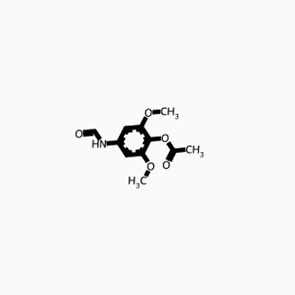 COc1cc(NC=O)cc(OC)c1OC(C)=O